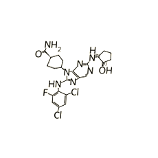 NC(=O)[C@H]1CC[C@@H](n2c(Nc3c(F)cc(Cl)cc3Cl)nc3cnc(N[C@@H]4CCC[C@H]4O)nc32)CC1